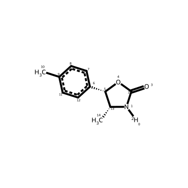 [2H]N1C(=O)O[C@@H](c2ccc(C)cc2)[C@H]1C